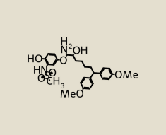 COc1ccc(C(CCCC[C@H](O)C(N)Oc2ccc(O)c(NS(C)(=O)=O)c2)c2ccc(OC)cc2)cc1